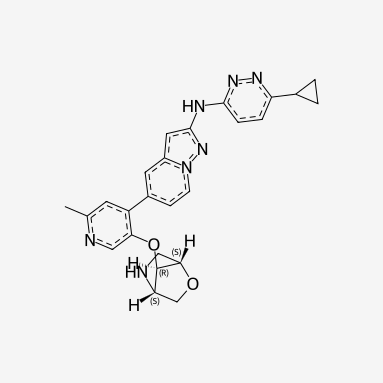 Cc1cc(-c2ccn3nc(Nc4ccc(C5CC5)nn4)cc3c2)c(O[C@@H]2[C@@H]3CO[C@H]2CN3)cn1